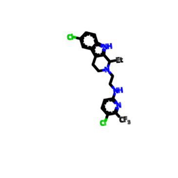 CCC1c2[nH]c3ccc(Cl)cc3c2CCN1CCNc1ccc(Cl)c(C(F)(F)F)n1